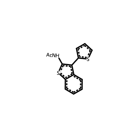 CC(=O)Nc1sc2ccccc2c1-c1cccs1